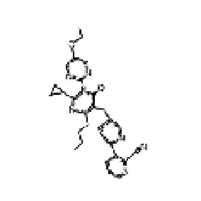 CCCCc1nc(C2CC2)n(-c2ncc(OCC)cn2)c(=O)c1Cc1ccc(-c2ccccc2C#N)nc1